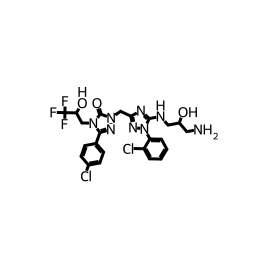 NCC(O)CNc1nc(Cn2nc(-c3ccc(Cl)cc3)n(CC(O)C(F)(F)F)c2=O)nn1-c1ccccc1Cl